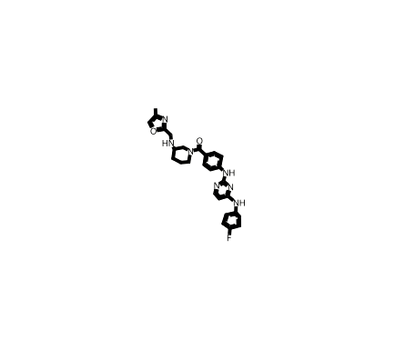 Cc1coc(CNC2CCCN(C(=O)c3ccc(Nc4nccc(Nc5ccc(F)cc5)n4)cc3)C2)n1